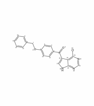 O=C(c1ccc(OCc2ccccc2)cc1)c1c[nH]c2ncnc(Cl)c12